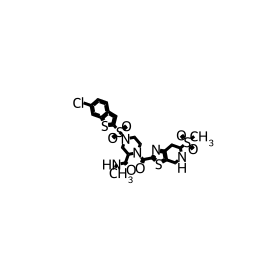 CNC(=O)C1CN(S(=O)(=O)c2cc3ccc(Cl)cc3s2)CCN1C(=O)c1nc2c(s1)CNC(S(C)(=O)=O)C2